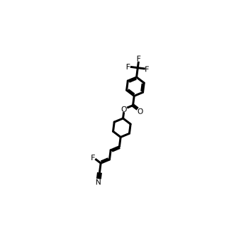 N#CC(F)=CC=CC1CCC(OC(=O)c2ccc(C(F)(F)F)cc2)CC1